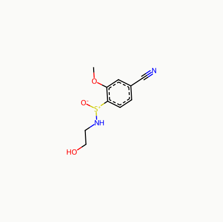 COc1cc(C#N)ccc1[S+]([O-])NCCO